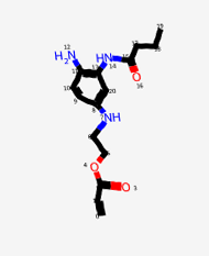 C=CC(=O)OCCNc1ccc(N)c(NC(=O)CCC)c1